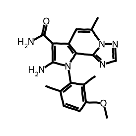 COc1ccc(C)c(-n2c(N)c(C(N)=O)c3cc(C)n4ncnc4c32)c1C